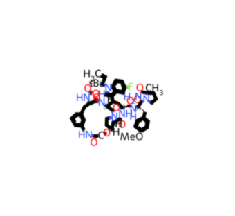 C=CCn1cc(C2C[C@@H](C(=O)N[C@@H](Cc3ccc(OC)cc3)C(=O)N3CCC[C@@]3(C)C(N)=O)NC(=O)[C@@H]3[C@@H]4CCN3C(=O)[C@H]2NC(=O)[C@@H](NC(=O)OC(C)(C)C)Cc2cccc(c2)CNC(=O)CO4)c2cc(F)ccc21